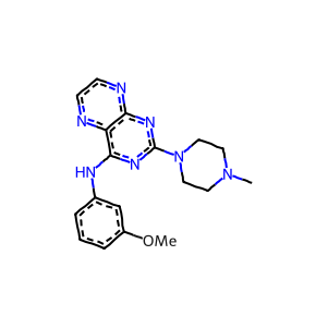 COc1cccc(Nc2nc(N3CCN(C)CC3)nc3nccnc23)c1